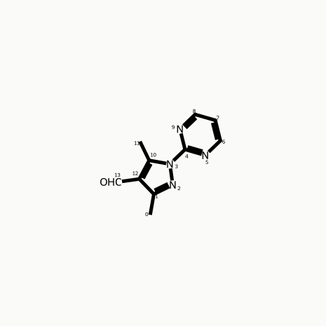 Cc1nn(-c2ncccn2)c(C)c1C=O